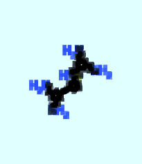 NCCc1cc(C#Cc2cccc(C3NCC(C4CC(CCN)CC(CCN)C4)S3)c2)cc(CCN)c1